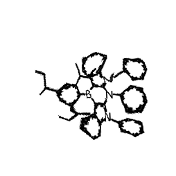 CCC(C)c1cc(C(C)CC)c(B2c3c(n(-c4ccccc4)c4ccccc34)N(c3ccccc3)c3c2c2ccccc2n3-c2ccccc2)c(C(C)CC)c1